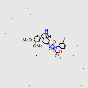 COc1ccc([C@]23CCN[C@H]2C[C@H](N(C)C(=O)N(OC(=O)C(F)(F)F)c2cccc(I)c2)CC3)cc1OC